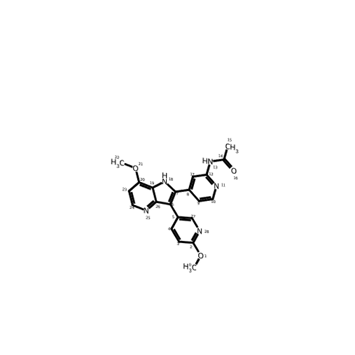 COc1ccc(-c2c(-c3ccnc(NC(C)=O)c3)[nH]c3c(OC)ccnc23)cn1